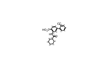 O=C(O)c1ccc(-c2ccccc2Cl)cc1NC(=O)C1CCCCC1